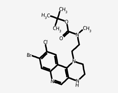 CN(CCN1CCNc2cnc3cc(Br)c(Cl)cc3c21)C(=O)OC(C)(C)C